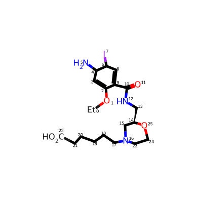 CCOC1=CC(N)C(I)C=C1C(=O)NC[C@@H]1CN(CCCCCC(=O)O)CCO1